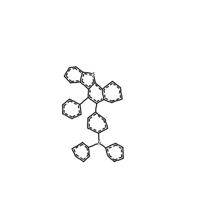 c1ccc(-c2c(-c3ccc(N(c4ccccc4)c4ccccc4)cc3)c3ccccc3c3sc4ccccc4c23)cc1